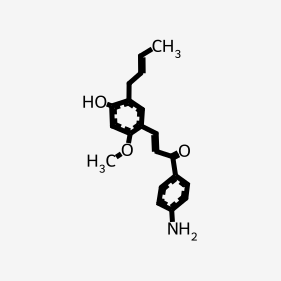 CC=CCc1cc(C=CC(=O)c2ccc(N)cc2)c(OC)cc1O